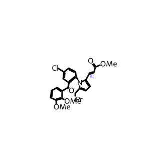 COC(=O)/C=C/c1ccc(CC(C)C)n1-c1ccc(Cl)cc1C(=O)c1cccc(OC)c1OC